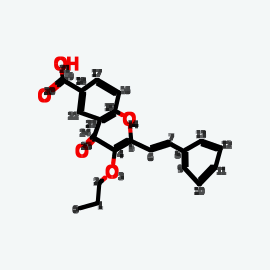 CCCOc1c(/C=C/c2ccccc2)oc2ccc(C(=O)O)cc2c1=O